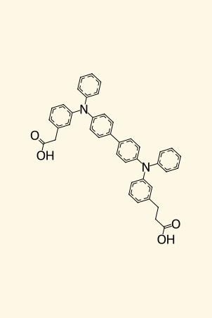 O=C(O)CCc1cccc(N(c2ccccc2)c2ccc(-c3ccc(N(c4ccccc4)c4cccc(CC(=O)O)c4)cc3)cc2)c1